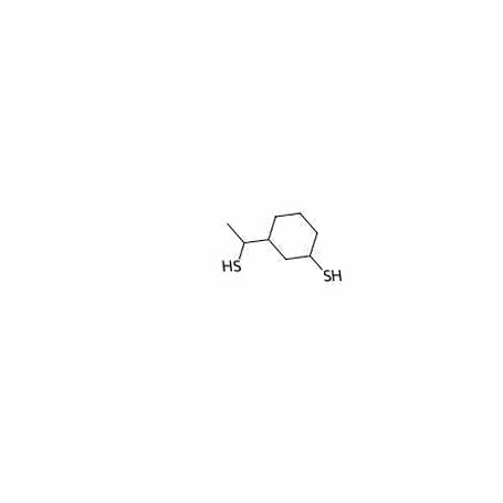 CC(S)C1CCCC(S)C1